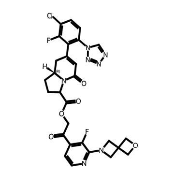 O=C(COC(=O)C1CC[C@@H]2CC(c3c(-n4cnnn4)ccc(Cl)c3F)=CC(=O)N12)c1ccnc(N2CC3(COC3)C2)c1F